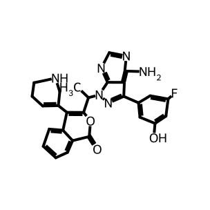 CC(c1oc(=O)c2ccccc2c1C1=CCCNC1)n1nc(-c2cc(O)cc(F)c2)c2c(N)ncnc21